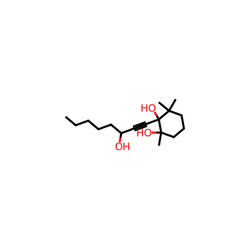 CCCCCC(O)C#CC1(O)C(C)(C)CCCC1(C)O